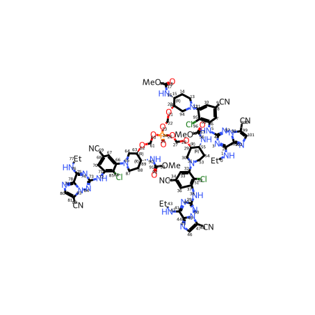 CCNc1nc(Nc2cc(C#N)cc(N3CC[C@@H](NC(=O)OC)[C@H](OCOP(=O)(OCO[C@@H]4CN(c5cc(C#N)cc(Nc6nc(NCC)c7ncc(C#N)n7n6)c5Cl)CC[C@H]4NC(=O)OC)OCO[C@@H]4CN(c5cc(C#N)cc(Nc6nc(NCC)c7ncc(C#N)n7n6)c5Cl)CC[C@H]4NC(=O)OC)C3)c2Cl)nn2c(C#N)cnc12